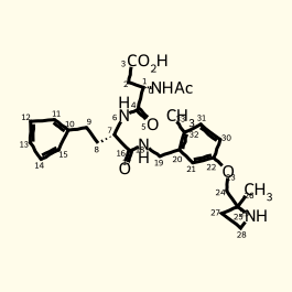 CC(=O)N[C@@H](CC(=O)O)C(=O)N[C@@H](CCc1ccccc1)C(=O)NCc1cc(OCC2(C)CCN2)ccc1C